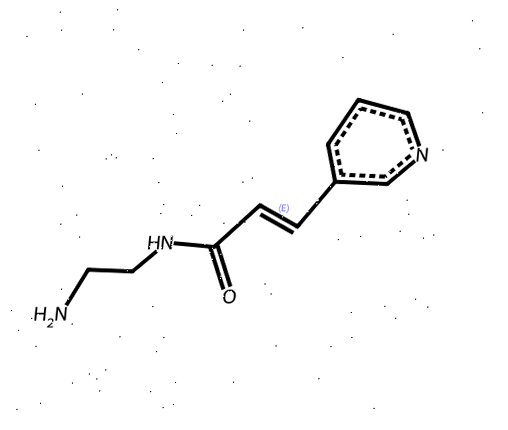 NCCNC(=O)/C=C/c1cccnc1